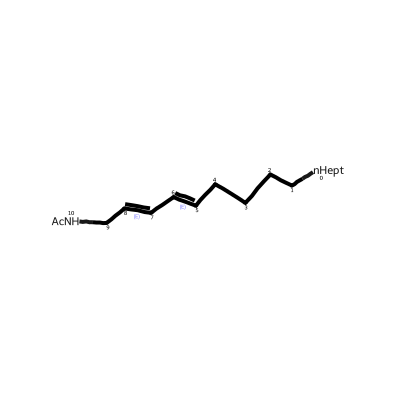 CCCCCCCCCCC/C=C/C=C/CNC(C)=O